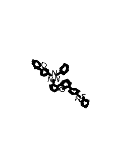 c1ccc(-c2nc(-c3ccc4c(c3)oc3ccccc34)nc(-c3cccc4oc5c(-c6ccc(-c7nc8ccccc8s7)cc6)cccc5c34)n2)cc1